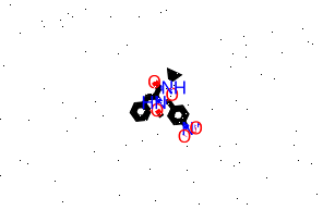 COc1ccccc1C=C(NC(=O)c1ccc([N+](=O)[O-])cc1)C(=O)NC1CC1